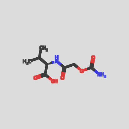 CC(C)[C@H](NC(=O)COC(N)=O)C(=O)O